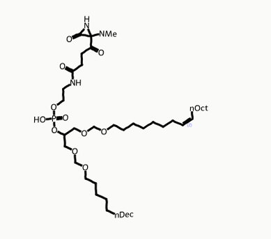 CCCCCCCC/C=C\CCCCCCCOCOCC(COCOCCCCCCCCCCCCCCC)OP(=O)(O)OCCNC(=O)CCC(=O)C1(NC)NC1=O